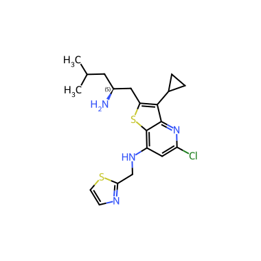 CC(C)C[C@H](N)Cc1sc2c(NCc3nccs3)cc(Cl)nc2c1C1CC1